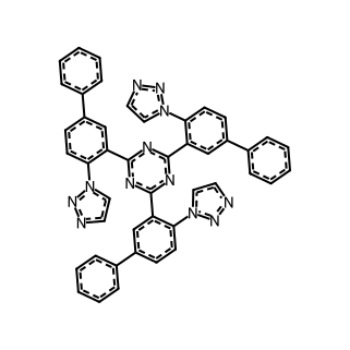 c1ccc(-c2ccc(-n3ccnn3)c(-c3nc(-c4cc(-c5ccccc5)ccc4-n4ccnn4)nc(-c4cc(-c5ccccc5)ccc4-n4ccnn4)n3)c2)cc1